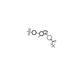 Cc1cc2c(cnn2C2CCN(C(=O)OC(C)(C)C)CC2)cc1-c1ccc(S(C)(=O)=O)cc1